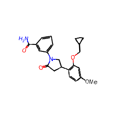 COc1ccc(C2CC(=O)N(c3cccc(C(N)=O)c3)C2)c(OCC2CC2)c1